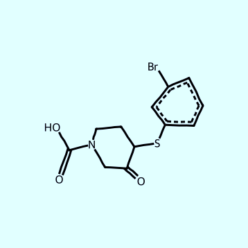 O=C1CN(C(=O)O)CCC1Sc1cccc(Br)c1